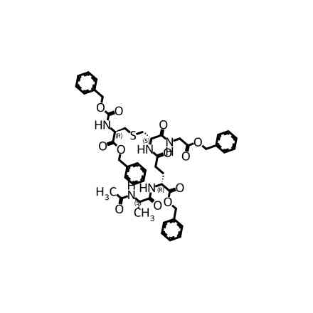 CC(=O)N[C@@H](C)C(=O)N[C@H](CCC(=O)N[C@H](CSC[C@H](NC(=O)OCc1ccccc1)C(=O)OCc1ccccc1)C(=O)NCC(=O)OCc1ccccc1)C(=O)OCc1ccccc1